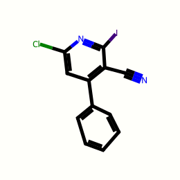 N#Cc1c(-c2ccccc2)cc(Cl)nc1I